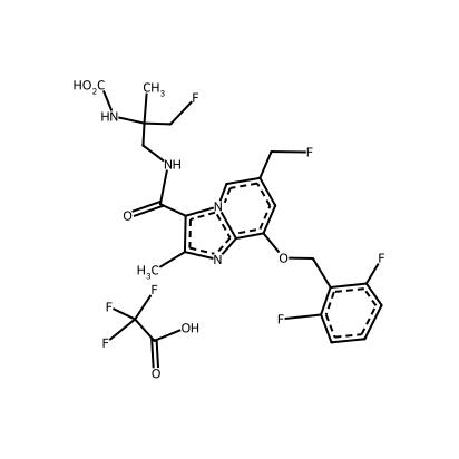 Cc1nc2c(OCc3c(F)cccc3F)cc(CF)cn2c1C(=O)NCC(C)(CF)NC(=O)O.O=C(O)C(F)(F)F